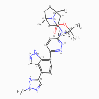 CN(c1ccc(-c2ccc(-c3cnn(C)n3)c3cn[nH]c23)nn1)C1C[C@H]2CC[C@@H](C1)N2C(=O)OC(C)(C)C